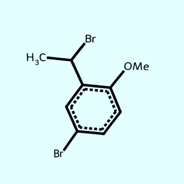 COc1ccc(Br)cc1C(C)Br